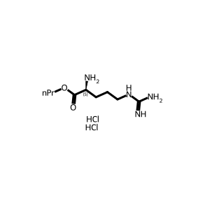 CCCOC(=O)[C@@H](N)CCCNC(=N)N.Cl.Cl